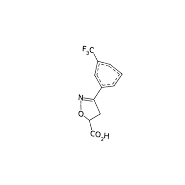 O=C(O)C1CC(c2cccc(C(F)(F)F)c2)=NO1